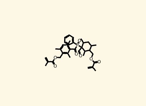 C=C(C)C(=O)OCc1c(C)cc(C)c(C(=O)P(=O)(c2ccccc2)C2(C=O)C(C)CC(C)C(COC(=O)C(=C)C)C2C)c1C